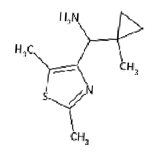 Cc1nc(C(N)C2(C)CC2)c(C)s1